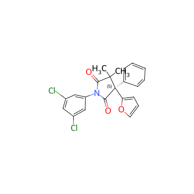 CC1(C)C(=O)N(c2cc(Cl)cc(Cl)c2)C(=O)[C@]1(c1ccccc1)c1ccco1